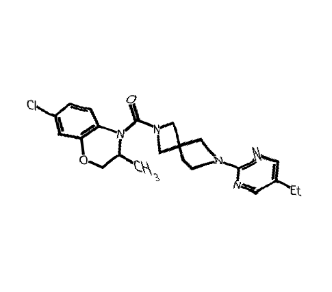 CCc1cnc(N2CC3(CN(C(=O)N4c5ccc(Cl)cc5OCC4C)C3)C2)nc1